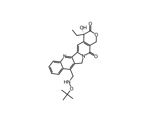 CC[C@@]1(O)C(=O)OCc2c1cc1n(c2=O)Cc2c-1nc1ccccc1c2CNOC(C)(C)C